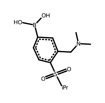 CC(C)S(=O)(=O)c1ccc(B(O)O)cc1CN(C)C